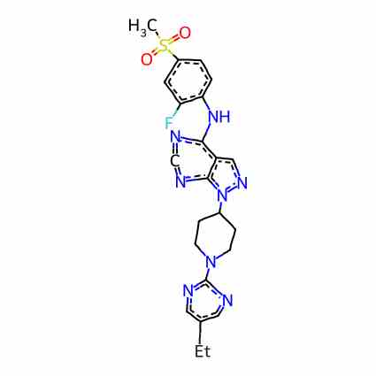 CCc1cnc(N2CCC(n3ncc4c(Nc5ccc(S(C)(=O)=O)cc5F)ncnc43)CC2)nc1